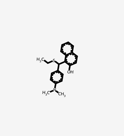 CCSC(c1ccc(N(C)C)cc1)c1c(O)ccc2ccccc12